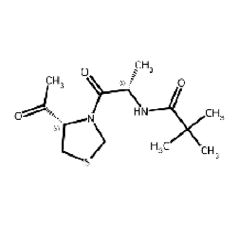 CC(=O)[C@H]1CSCN1C(=O)[C@H](C)NC(=O)C(C)(C)C